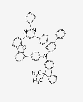 CC1(C)c2ccccc2-c2ccc(N(c3ccc(-c4ccccc4)cc3)c3ccc(-c4cccc5c4oc4c(-c6cc(-c7ccccc7)nc(-c7ccccc7)n6)cccc45)cc3)cc21